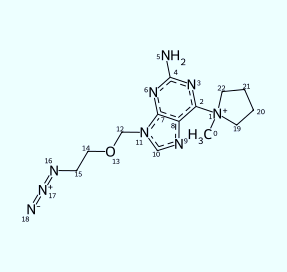 C[N+]1(c2nc(N)nc3c2ncn3COCCN=[N+]=[N-])CCCC1